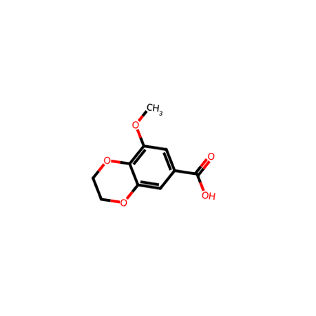 COc1cc(C(=O)O)cc2c1OCCO2